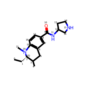 CC[C@H]1C(C)Cc2cc(C(=O)NC3CCNC3)ccc2N1C